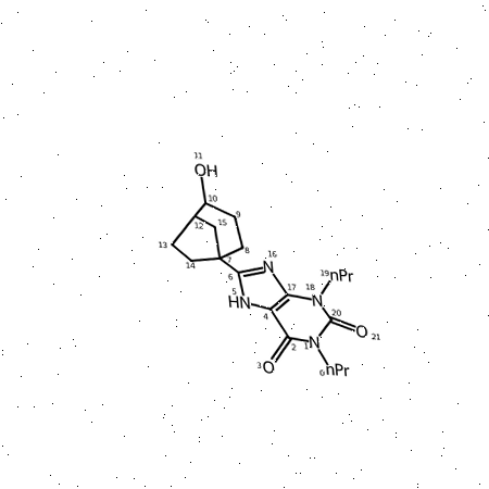 CCCn1c(=O)c2[nH]c(C34CCC(O)C(CC3)C4)nc2n(CCC)c1=O